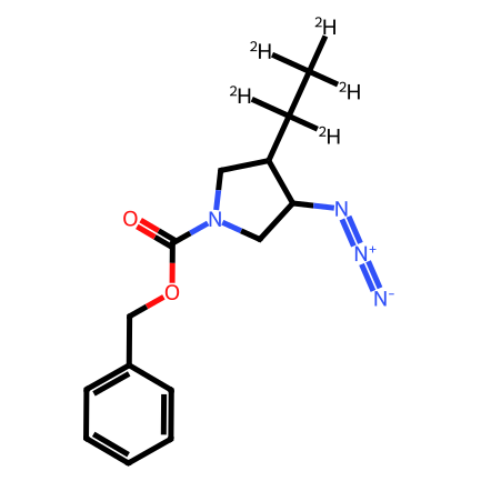 [2H]C([2H])([2H])C([2H])([2H])C1CN(C(=O)OCc2ccccc2)CC1N=[N+]=[N-]